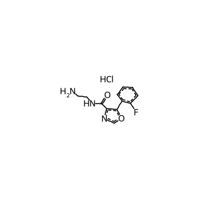 Cl.NCCNC(=O)c1ncoc1-c1ccccc1F